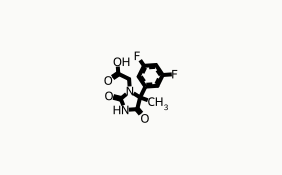 CC1(c2cc(F)cc(F)c2)C(=O)NC(=O)N1CC(=O)O